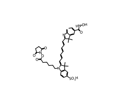 C=C1N=C(/C=C/C=C/C=C/C=C2/N(CCCCCC(=O)ON3C(=O)CCC3=O)c3ccc(S(=O)(=O)O)cc3C2(C)C)C(C)(C)/C1=C/C(=C\C)C(=O)NO